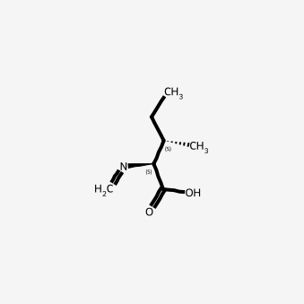 C=N[C@H](C(=O)O)[C@@H](C)CC